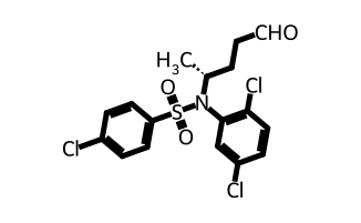 C[C@H](CCC=O)N(c1cc(Cl)ccc1Cl)S(=O)(=O)c1ccc(Cl)cc1